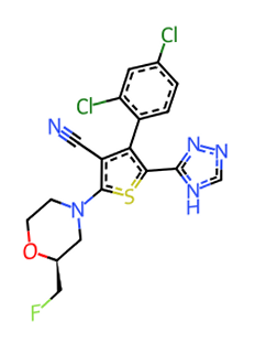 N#Cc1c(N2CCO[C@H](CF)C2)sc(-c2nnc[nH]2)c1-c1ccc(Cl)cc1Cl